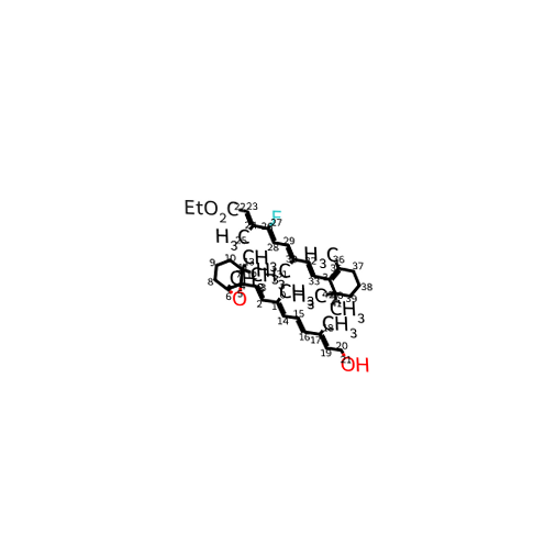 CC(/C=C/C12OC1(C)CCCC2(C)C)=C\C=C\C(C)=C\CO.CCOC(=O)/C=C(C)/C(F)=C/C=C(C)/C=C/C1=C(C)CCCC1(C)C